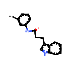 CC(=O)c1cccc(NC(=O)CCc2c[nH]c3ccccc23)c1